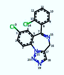 Clc1ccc2c(c1)C(c1ccccc1Cl)=NCc1cnnn1-2